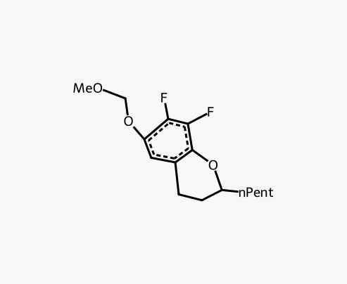 CCCCCC1CCc2cc(OCOC)c(F)c(F)c2O1